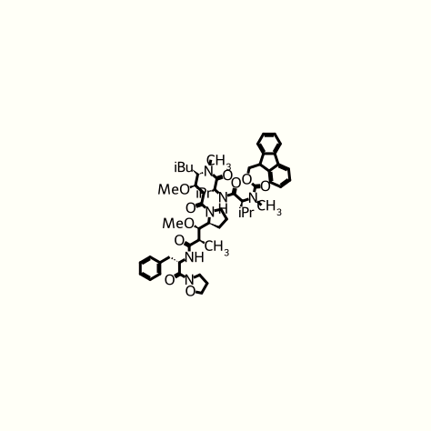 CC[C@H](C)[C@@H]([C@@H](CC(=O)N1CCC[C@H]1[C@H](OC)[C@@H](C)C(=O)N[C@@H](Cc1ccccc1)C(=O)N1CCCO1)OC)N(C)C(=O)[C@@H](NC(=O)[C@H](C(C)C)N(C)C(=O)OCC1c2ccccc2-c2ccccc21)C(C)C